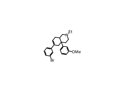 CCN1CCC2(c3cccc(OC)c3)CC(c3cccc(Br)c3)=CCC2C1